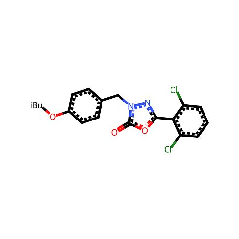 CCC(C)Oc1ccc(Cn2nc(-c3c(Cl)cccc3Cl)oc2=O)cc1